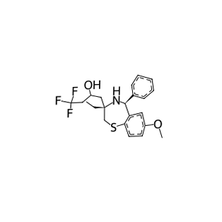 CC[C@]1(CC(O)CC(F)(F)F)CSc2ccc(OC)cc2[C@H](c2ccccc2)N1